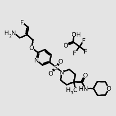 CC1(C(=O)NC2CCOCC2)CCN(S(=O)(=O)c2ccc(OC/C(=C/F)CN)nc2)CC1.O=C(O)C(F)(F)F